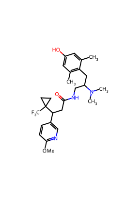 COc1ccc(C(CC(=O)NCC(Cc2c(C)cc(O)cc2C)N(C)C)C2(C(F)(F)F)CC2)cn1